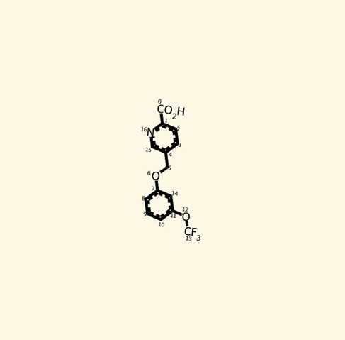 O=C(O)c1ccc(COc2cccc(OC(F)(F)F)c2)cn1